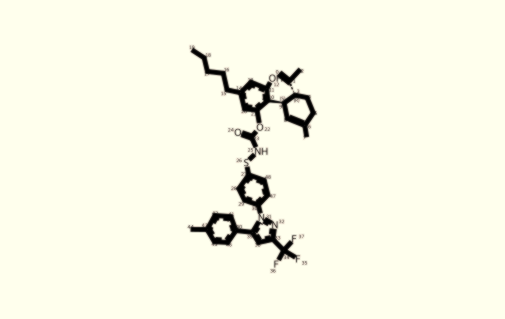 C=C(C)[C@@H]1CCC(C)=C[C@H]1c1c(O)cc(CCCCC)cc1OC(=O)NSc1ccc(-n2nc(C(F)(F)F)cc2-c2ccc(C)cc2)cc1